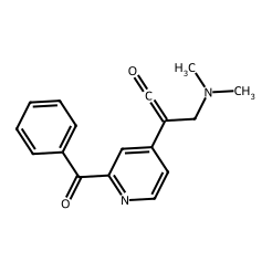 CN(C)CC(=C=O)c1ccnc(C(=O)c2ccccc2)c1